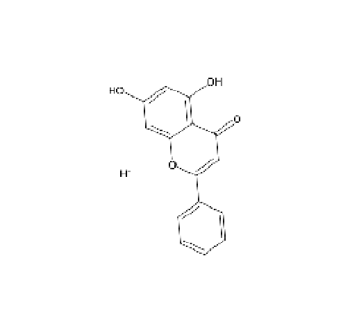 O=c1cc(-c2ccccc2)oc2cc(O)cc(O)c12.[H+]